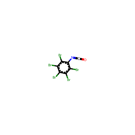 O=C=Nc1c(Br)c(Br)c(Br)c(Br)c1Br